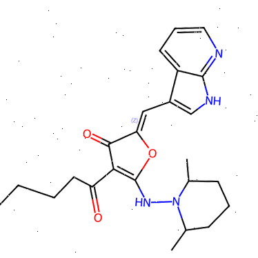 CCCCC(=O)C1=C(NN2C(C)CCCC2C)O/C(=C\c2c[nH]c3ncccc23)C1=O